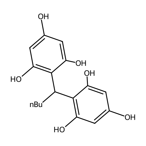 CCCCC(c1c(O)cc(O)cc1O)c1c(O)cc(O)cc1O